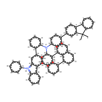 CC1(C)c2ccccc2-c2ccc(-c3ccc(N(c4ccccc4-c4ccc5c6ccccc6n(-c6ccccc6)c5c4)c4ccccc4-c4cccc5cccc(-c6ccccc6)c45)cc3)cc21